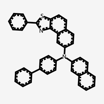 c1ccc(-c2ccc(N(c3ccc4ccccc4c3)c3ccc4ccc5sc(-c6ccccc6)nc5c4c3)cc2)cc1